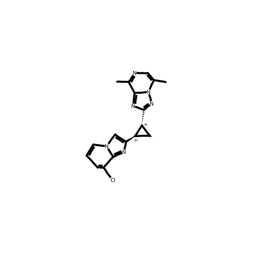 Cc1ncc(C)n2nc([C@@H]3C[C@H]3c3cn4cccc(Cl)c4n3)nc12